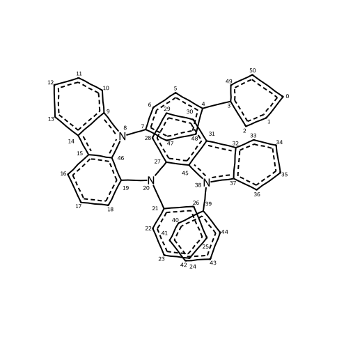 c1ccc(-c2ccc(-n3c4ccccc4c4cccc(N(c5ccccc5)c5cccc6c7ccccc7n(-c7ccccc7)c56)c43)cc2)cc1